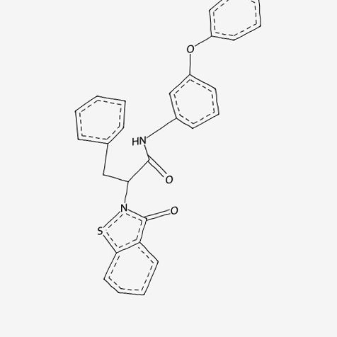 O=C(Nc1cccc(Oc2ccccc2)c1)C(Cc1ccccc1)n1sc2ccccc2c1=O